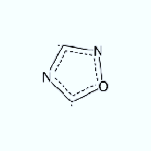 [c]1n[c]on1